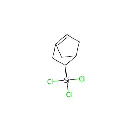 Cl[Si](Cl)(Cl)C1CC2=CCC1C2